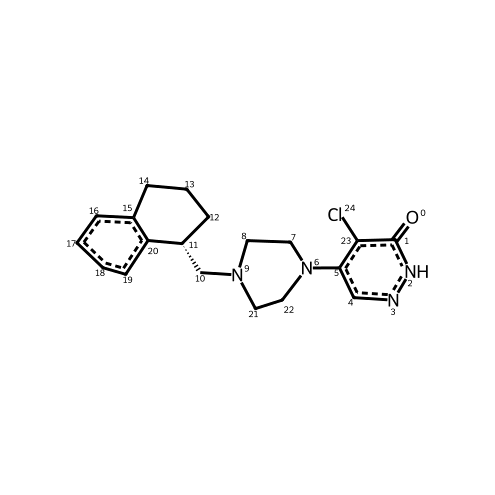 O=c1[nH]ncc(N2CCN(C[C@H]3CCCc4ccccc43)CC2)c1Cl